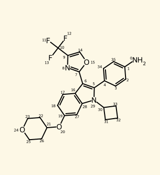 Nc1ccc(-c2c(-c3nc(C(F)(F)F)co3)c3ccc(OC4CCOCC4)cc3n2C2CCC2)cc1